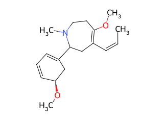 C/C=C\C1=C(OC)CCN(C)C(C2=CC=C[C@H](OC)C2)C1